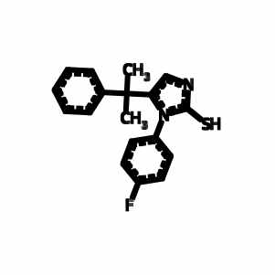 CC(C)(c1ccccc1)c1cnc(S)n1-c1ccc(F)cc1